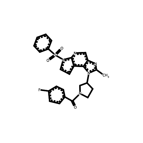 Cc1nc2cnc3c(ccn3S(=O)(=O)c3ccccc3)c2n1C1CCN(C(=O)c2ccc(F)cc2)C1